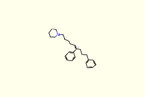 C(/CCCCN1CCCCC1)=C(\CCCc1ccccc1)c1ccccc1